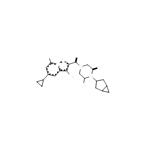 CCC1CN(C(=O)c2nn3c(C(F)(F)F)cc(C4CC4)cc3c2Cl)CC(=O)N1C1CC2CC2C1